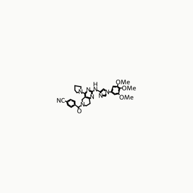 COc1cc(-n2cnc(Nc3nc4c(c(N5CCCC5)n3)CN(C(=O)c3ccc(C#N)cc3)CC4)c2)cc(OC)c1OC